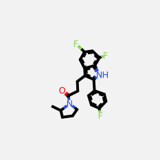 CC1CCCN1C(=O)CCc1c(-c2ccc(F)cc2)[nH]c2c(F)cc(F)cc12